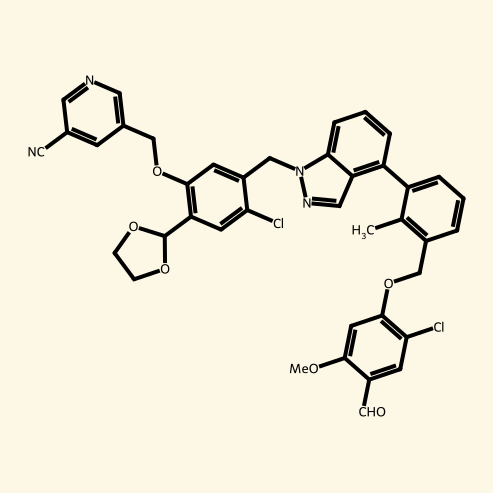 COc1cc(OCc2cccc(-c3cccc4c3cnn4Cc3cc(OCc4cncc(C#N)c4)c(C4OCCO4)cc3Cl)c2C)c(Cl)cc1C=O